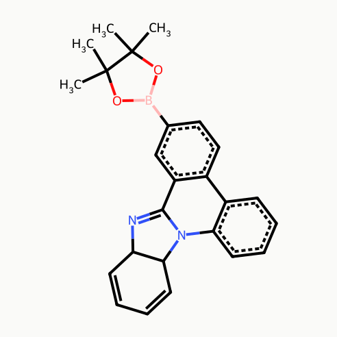 CC1(C)OB(c2ccc3c(c2)C2=NC4C=CC=CC4N2c2ccccc2-3)OC1(C)C